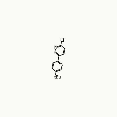 CC(C)(C)c1ccc(-c2ccc(Cl)nc2)nc1